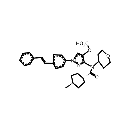 C[C@H]1CC[C@H](C(=O)N(c2nn(-c3ccc(/C=C/c4ccccc4)cc3)cc2OC(=O)O)C2CCOCC2)CC1